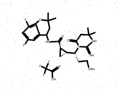 COCC[C@H]([C@@H]1C[C@H]1C(=O)NC1CC(C)(C)Oc2c(F)cc(F)cc21)N1C(=N)NC(C)(C)CC1=O.O=C(O)C(F)(F)F